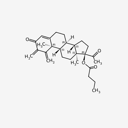 C=C1C(=C)[C@@]2(C)C(=CC1=O)CC[C@@H]1[C@@H]2CC[C@@]2(C)[C@H]1CC[C@]2(OC(=O)CCC)C(C)=O